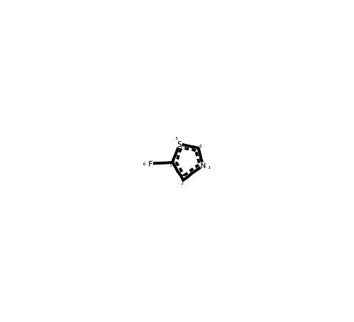 Fc1[c]n[c]s1